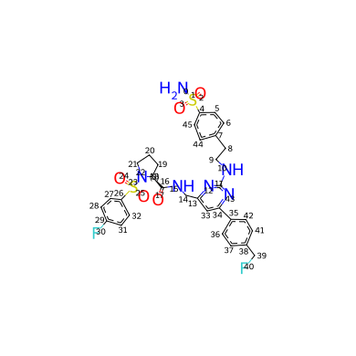 NS(=O)(=O)c1ccc(CCNc2nc(CNC(=O)[C@@H]3CCCN3S(=O)(=O)c3ccc(F)cc3)cc(-c3ccc(CF)cc3)n2)cc1